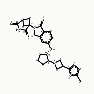 Cc1cnc(C2CN(C3CCC[C@@H]3Oc3ccc4c(c3)CN(C35CC(C3)C(=O)NC5=O)C4=O)C2)o1